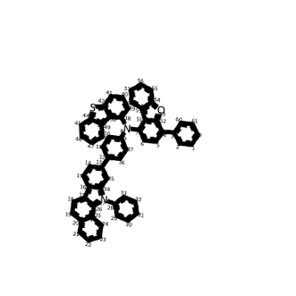 c1ccc(-c2ccc(N(c3ccc(-c4ccc5c6ccc7ccccc7c6n(-c6ccccc6)c5c4)cc3)c3cccc4sc5ccccc5c34)c3c2oc2ccccc23)cc1